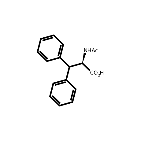 CC(=O)N[C@@H](C(=O)O)C(c1ccccc1)c1ccccc1